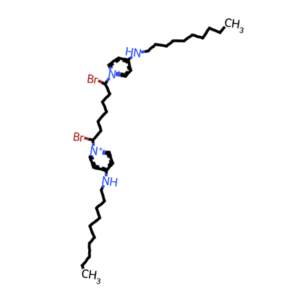 CCCCCCCCCCNc1cc[n+](C(Br)CCCCCC(Br)[n+]2ccc(NCCCCCCCCCC)cc2)cc1